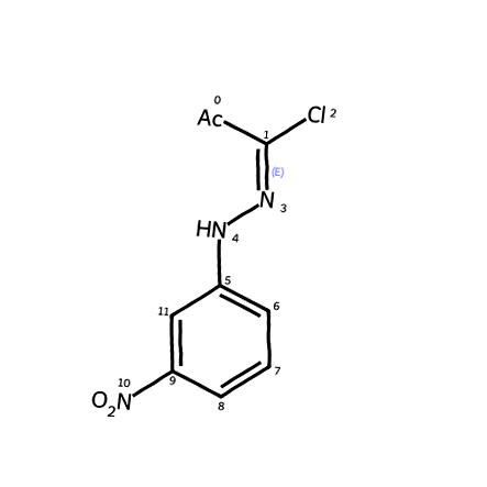 CC(=O)/C(Cl)=N\Nc1cccc([N+](=O)[O-])c1